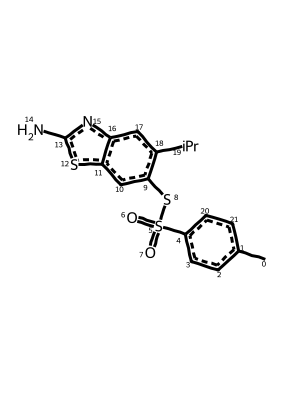 Cc1ccc(S(=O)(=O)Sc2cc3sc(N)nc3cc2C(C)C)cc1